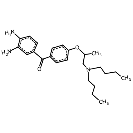 CCCCN(CCCC)CC(C)Oc1ccc(C(=O)c2ccc(N)c(N)c2)cc1